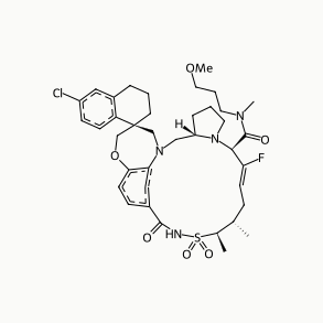 COCCCN(C)C(=O)[C@H]1/C(F)=C/C[C@H](C)[C@@H](C)S(=O)(=O)NC(=O)c2ccc3c(c2)N(C[C@@H]2CCCN21)C[C@@]1(CCCc2cc(Cl)ccc21)CO3